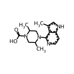 Cc1c[nH]c2ccnc(N3CC(C)N(C(=O)O)CC3C)c12